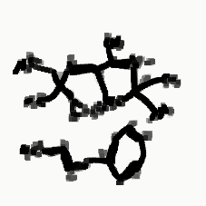 CC(=NC(C)(C)C)C(C)=NC(C)(C)C.CC=Nc1ccccc1